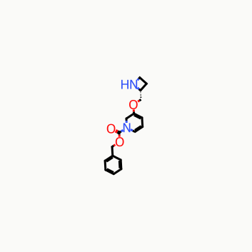 O=C(OCc1ccccc1)N1C=CC=C(OC[C@H]2CCN2)C1